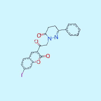 O=C(CN1N=C(c2ccccc2)CCC1=O)c1cc2ccc(I)cc2oc1=O